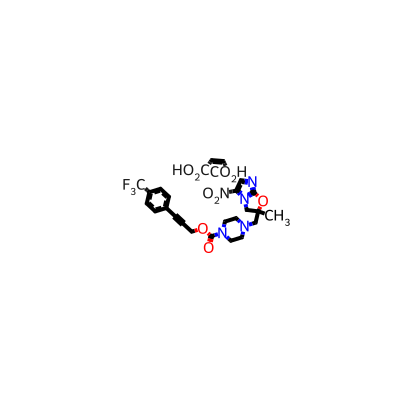 CC1(CN2CCN(C(=O)OCC#Cc3ccc(C(F)(F)F)cc3)CC2)Cn2c([N+](=O)[O-])cnc2O1.O=C(O)/C=C\C(=O)O